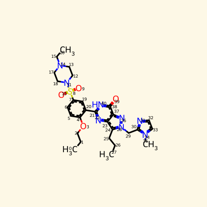 CCCOc1ccc(S(=O)(=O)N2CCN(CC)CC2)cc1-c1nc2c(CCC)n(Cc3nccn3C)nc2c(=O)[nH]1